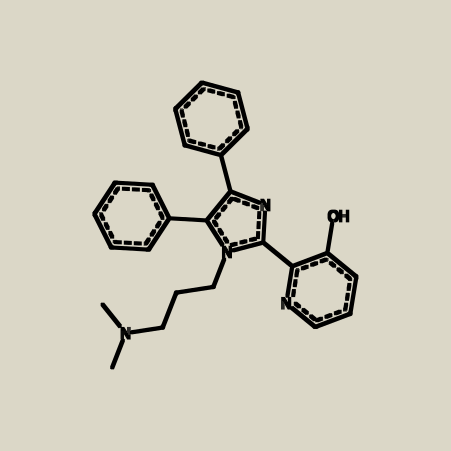 CN(C)CCCn1c(-c2ncccc2O)nc(-c2ccccc2)c1-c1ccccc1